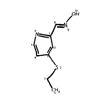 CCSc1ccnc(C=NO)c1